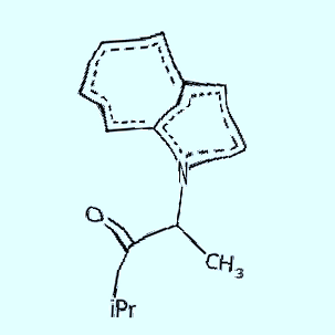 CC(C)C(=O)C(C)n1ccc2ccccc21